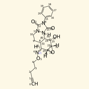 C#CCCCO/N=C1/[C@H]2CCn3c(=O)n(-c4ccccc4)c(=O)n3[C@H]2[C@H](O)[C@@H]2O[C@H]12